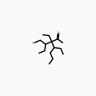 CCCC(CC)C(CC)(C(C)=O)C(CC)CCl